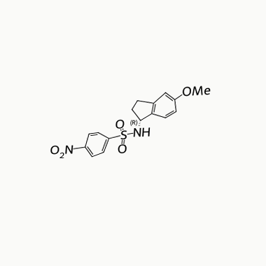 COc1ccc2c(c1)CC[C@H]2NS(=O)(=O)c1ccc([N+](=O)[O-])cc1